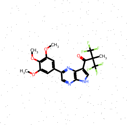 COc1cc(-c2cnc3[nH]cc(C(=O)C(C)(C(F)(F)F)C(F)(F)F)c3n2)cc(OC)c1OC